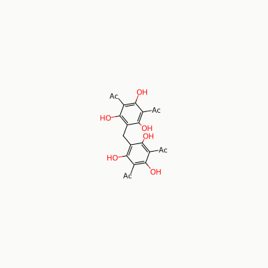 CC(=O)c1c(O)c(Cc2c(O)c(C(C)=O)c(O)c(C(C)=O)c2O)c(O)c(C(C)=O)c1O